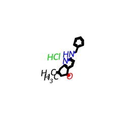 CC1(C)CC(=O)c2ccc(NCc3ccccc3)nc2C1.Cl